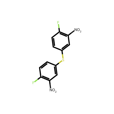 O=[N+]([O-])c1cc(Sc2ccc(F)c([N+](=O)[O-])c2)ccc1F